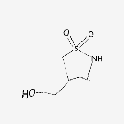 O=S1(=O)CC(CO)[CH]N1